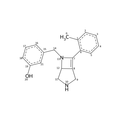 Cc1ccccc1C1=C2CNCC2N1Cc1cccc(O)c1